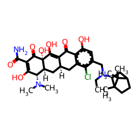 CCN(Cc1cc(O)c2c(c1Cl)C[C@H]1C[C@H]3[C@H](N(C)C)C(O)=C(C(N)=O)C(=O)[C@@]3(O)C(O)=C1C2=O)[C@H]1CC2CCC1(C)C2(C)C